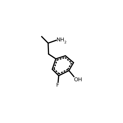 CC(N)Cc1ccc(O)c(F)c1